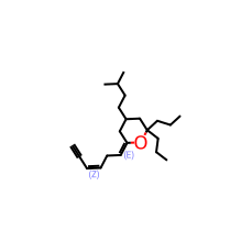 C#C/C=C\C/C=C1\CC(CCC(C)C)CC(CCC)(CCC)O1